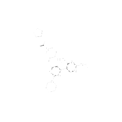 Nc1ncc(-c2cc(O[C@@H]3CCCN(C(=O)OC4CCCC4)C3)nc(N3CCOCC3)n2)c(N)n1